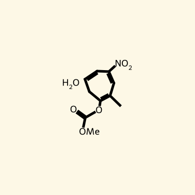 COC(=O)OC1=C(C)C=C([N+](=O)[O-])C=CC1.O